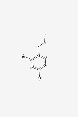 [CH2]CCc1ccc(Br)cc1Br